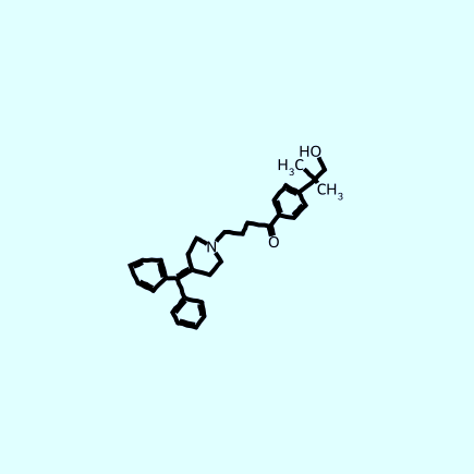 CC(C)(CO)c1ccc(C(=O)CCCN2CCC(=C(c3ccccc3)c3ccccc3)CC2)cc1